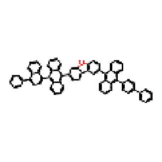 c1ccc(-c2ccc(-c3c4ccccc4c(-c4ccc5oc6cc(-c7c8ccccc8c(-c8ccc(-c9ccccc9)c9ccccc89)c8ccccc78)ccc6c5c4)c4ccccc34)cc2)cc1